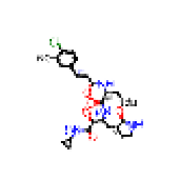 CC(C)(C)C[C@H](NC(=O)/C=C/c1ccc(Cl)c(C#N)c1)C(=O)NC(C[C@@H]1CCNC1=O)C(=O)C(=O)NC1CC1